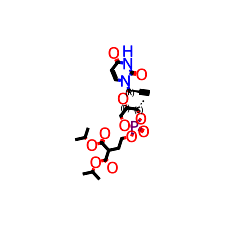 C#C[C@@H](O[C@@H]1COP(=O)(OCCC(C(=O)OC(C)C)C(=O)OC(C)C)O[C@H]1C)n1ccc(=O)[nH]c1=O